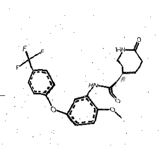 COc1ccc(Oc2ccc(C(F)(F)F)cc2)cc1NC(=O)[C@@H]1CCC(=O)NC1